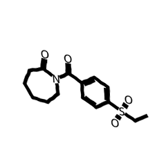 CCS(=O)(=O)c1ccc(C(=O)N2CCCCCC2=O)cc1